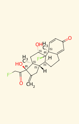 C=C1C[C@H]2[C@@H]3CCC4=CC(=O)C=C[C@]4(C)[C@@]3(F)[C@@H](O)C[C@]2(C)[C@@]1(O)C(=O)CF